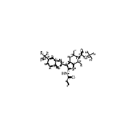 C=CC(=O)Nc1sc2c(c1-c1nc3cc(C(F)(F)F)ccc3s1)CC(C)N(C(=O)OC(C)(C)C)C2C